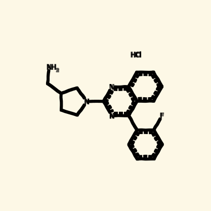 Cl.NCC1CCN(c2nc(-c3ccccc3F)c3ccccc3n2)C1